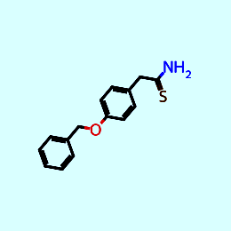 NC(=S)Cc1ccc(OCc2ccccc2)cc1